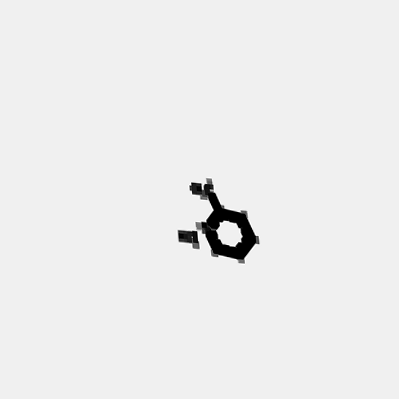 Cl.[CH2]c1ccccn1